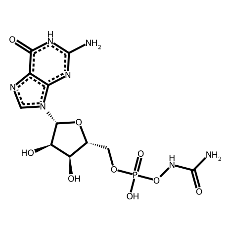 NC(=O)NOP(=O)(O)OC[C@H]1O[C@@H](n2cnc3c(=O)[nH]c(N)nc32)[C@H](O)[C@@H]1O